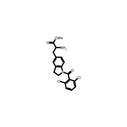 COC(=O)C(N)Cc1ccc2c(c1)CCN2C(=O)c1c(Cl)cccc1Cl